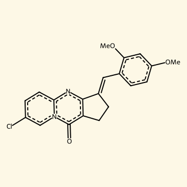 COc1ccc(C=C2CCc3c2nc2ccc(Cl)cn2c3=O)c(OC)c1